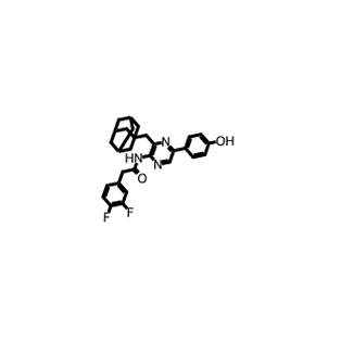 O=C(Cc1ccc(F)c(F)c1)Nc1ncc(-c2ccc(O)cc2)nc1CC12CC3CC(CC(C3)C1)C2